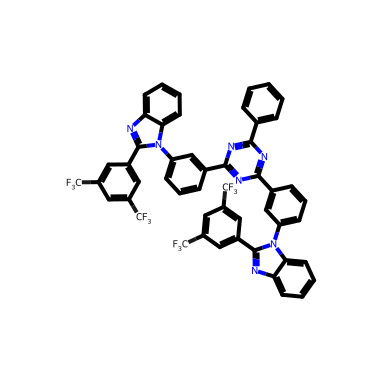 FC(F)(F)c1cc(-c2nc3ccccc3n2-c2cccc(-c3nc(-c4ccccc4)nc(-c4cccc(-n5c(-c6cc(C(F)(F)F)cc(C(F)(F)F)c6)nc6ccccc65)c4)n3)c2)cc(C(F)(F)F)c1